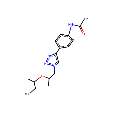 CC(Cn1cc(-c2ccc(NC(=O)C(C)C)cc2)nn1)OC(C)CC(C)(C)C